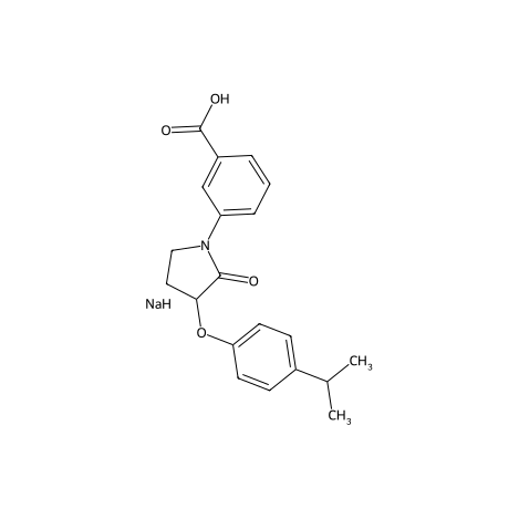 CC(C)c1ccc(OC2CCN(c3cccc(C(=O)O)c3)C2=O)cc1.[NaH]